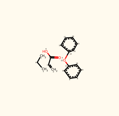 C=CC(=O)O.CCC.c1ccc(Oc2ccccc2)cc1